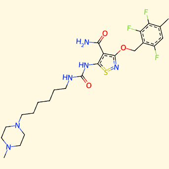 Cc1cc(F)c(COc2nsc(NC(=O)NCCCCCCN3CCN(C)CC3)c2C(N)=O)c(F)c1F